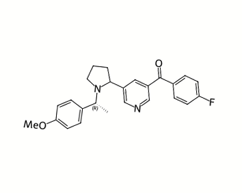 COc1ccc([C@@H](C)N2CCCC2c2cncc(C(=O)c3ccc(F)cc3)c2)cc1